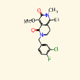 CCc1c2c(c(OC)c(=O)n1C)C(=O)N(Cc1ccc(F)c(Cl)c1)CC2